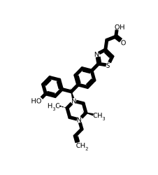 C=CCN1C[C@H](C)N([C@H](c2ccc(-c3nc(CC(=O)O)cs3)cc2)c2cccc(O)c2)C[C@H]1C